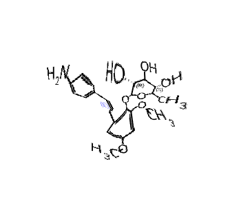 COc1cc(/C=C/c2ccc(N)cc2)c(OC2OC(C)[C@@H](O)C(O)[C@H]2O)c(OC)c1